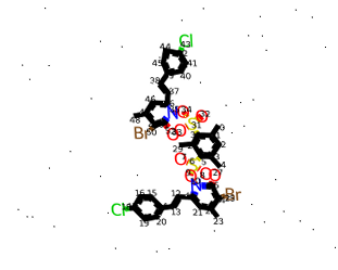 Cc1cc(C)c(S(=O)(=O)On2c(C=Cc3ccc(Cl)cc3)cc(C)c(Br)c2=O)c(C)c1S(=O)(=O)On1c(C=Cc2ccc(Cl)cc2)cc(C)c(Br)c1=O